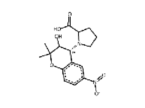 CC1(C)Oc2ccc([N+](=O)[O-])cc2[C@@H](N2CCCC2C(=O)O)C1O